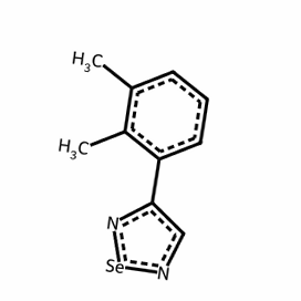 Cc1cccc(-c2cn[se]n2)c1C